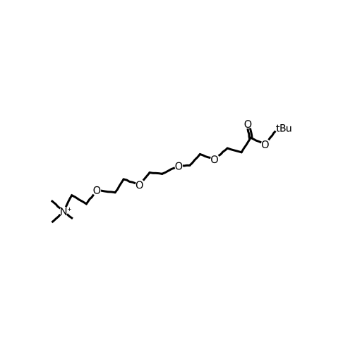 CC(C)(C)OC(=O)CCOCCOCCOCCOCC[N+](C)(C)C